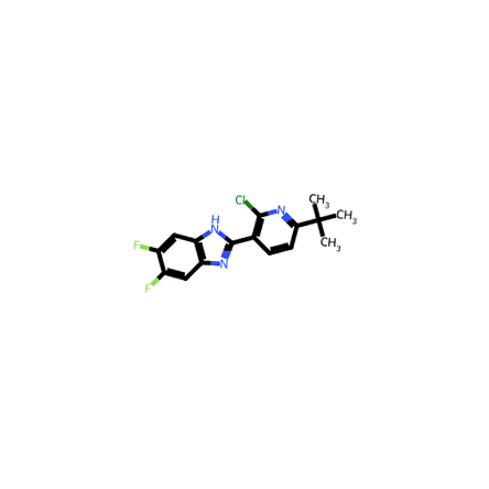 CC(C)(C)c1ccc(-c2nc3cc(F)c(F)cc3[nH]2)c(Cl)n1